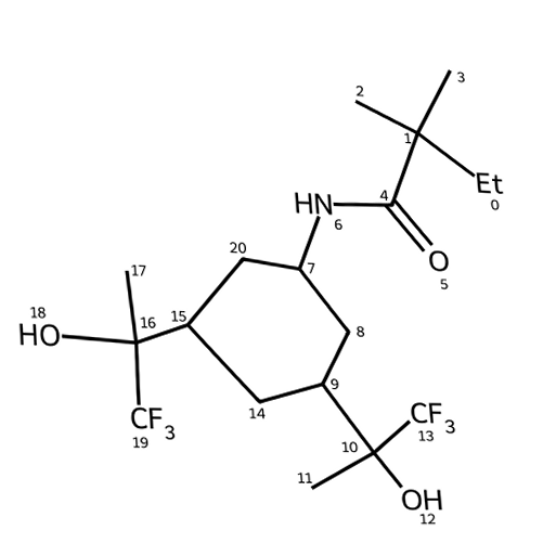 CCC(C)(C)C(=O)NC1CC(C(C)(O)C(F)(F)F)CC(C(C)(O)C(F)(F)F)C1